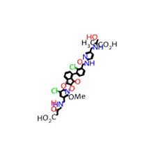 COc1nc(O[C@@H]2C(=O)C(=O)c3c(-c4cccc(C(=O)Nc5ccc(CN[C@@](C)(CO)C(=O)O)cn5)c4Cl)cccc32)c(Cl)cc1CNC[C@@H](O)CC(=O)O